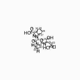 O=C(O)c1nn(CC(=O)N2[C@@H]3C[C@@H]3C[C@H]2C(=O)NC(CO)C2CC2(Cl)Cl)c2ccccc12